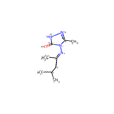 C/C(CC(C)C)=N\n1c(C)n[nH]c1=O